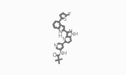 CC(C)(C)C(=O)Nc1cncc(-c2ccc3[nH]nc(-c4cc5c(-c6ccc(F)s6)cccc5[nH]4)c3n2)c1